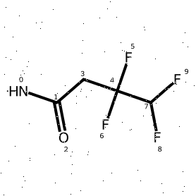 [NH]C(=O)CC(F)(F)C(F)F